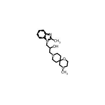 Cc1nc2ccccc2n1CC(O)CN1CCC2(CC1)CN(C)CCO2